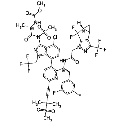 COC(=O)N[C@@H](C)C(=O)N(c1nn(CC(F)(F)F)c2c(-c3ccc(C#CC(C)(C)S(C)(=O)=O)nc3[C@H](Cc3cc(F)cc(F)c3)NC(=O)Cn3nc(C(F)(F)F)c4c3C(F)(F)[C@@H]3CC43)ccc(Cl)c12)S(C)(=O)=O